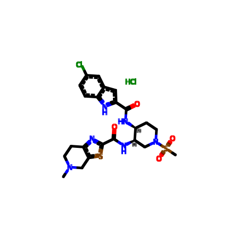 CN1CCc2nc(C(=O)N[C@@H]3CN(S(C)(=O)=O)CC[C@@H]3NC(=O)c3cc4cc(Cl)ccc4[nH]3)sc2C1.Cl